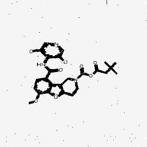 COc1ccc(C(=O)Nc2c(Cl)cncc2Cl)c2c3c(oc12)CCN(C(=O)OC(=O)CC(C)(C)C)C3